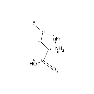 CCCCC(=O)O.CCCN